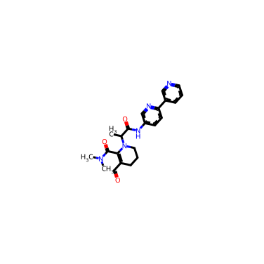 CC(C(=O)Nc1ccc(-c2cccnc2)nc1)N1CCCC(C=O)=C1C(=O)N(C)C